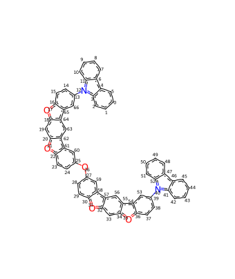 c1ccc2c(c1)c1ccccc1n2-c1ccc2oc3cc4oc5ccc(Oc6ccc7oc8cc9oc%10ccc(-n%11c%12ccccc%12c%12ccccc%12%11)cc%10c9cc8c7c6)cc5c4cc3c2c1